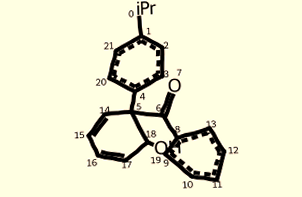 CC(C)c1ccc(C2(C(=O)c3ccccc3)C=CC=CC2O)cc1